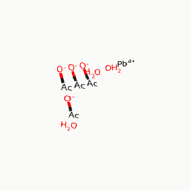 CC(=O)[O-].CC(=O)[O-].CC(=O)[O-].CC(=O)[O-].O.O.O.[Pb+4]